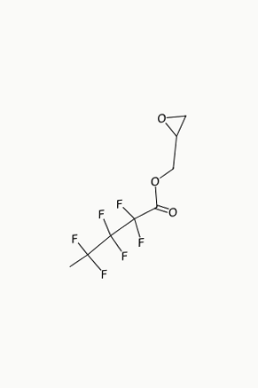 CC(F)(F)C(F)(F)C(F)(F)C(=O)OCC1CO1